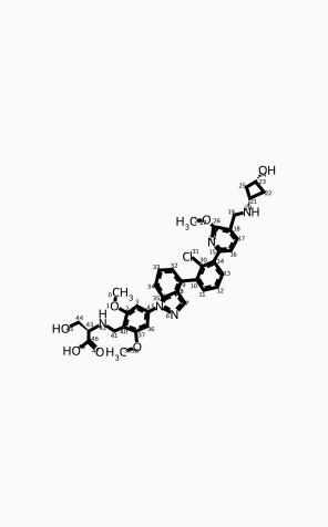 COc1cc(-n2ncc3c(-c4cccc(-c5ccc(CN[C@H]6C[C@@H](O)C6)c(OC)n5)c4Cl)cccc32)cc(OC)c1CN[C@H](CO)C(=O)O